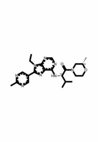 CCn1c(-c2cnc(C)nc2)nc2c(N[C@H](C(=O)N3CCO[C@@H](C)C3)C(C)C)ncnc21